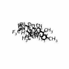 Cc1ccc2[nH]c(=O)c(C[C@@H](C#N)NC(=O)[C@@H]3[C@@H]4[C@H](CN3C(=O)[C@@H](NC(=O)C(F)(F)F)C(C)(C)C)C4(C)C)c(C)c2c1